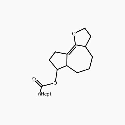 CCCCCCCC(=O)OC1CCC2=C3OCCC3CCCC21